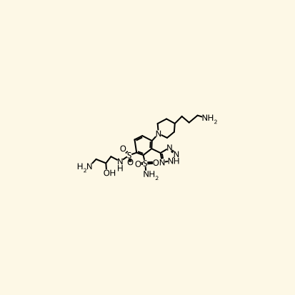 NCCCC1CCN(c2ccc(S(=O)(=O)NCC(O)CN)c(S(N)(=O)=O)c2-c2nn[nH]n2)CC1